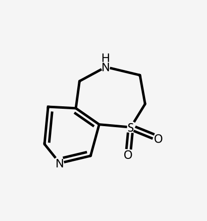 O=S1(=O)CCNCc2ccncc21